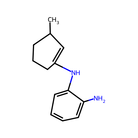 CC1C=C(Nc2ccccc2N)CCC1